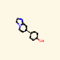 Oc1ccc(-c2ccn3ccnc3c2)cc1